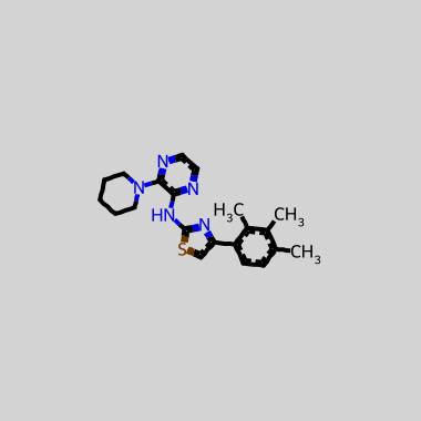 Cc1ccc(-c2csc(Nc3nccnc3N3CCCCC3)n2)c(C)c1C